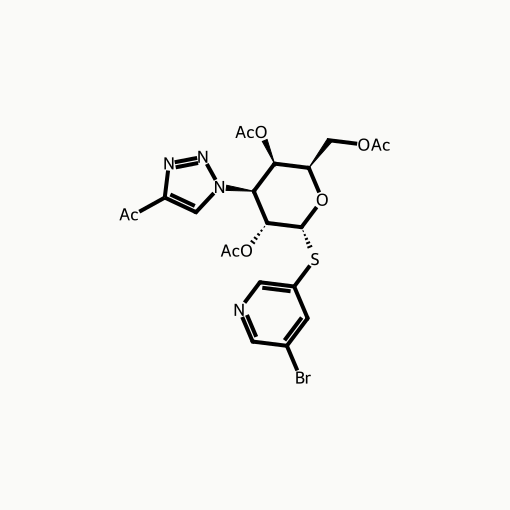 CC(=O)OC[C@H]1O[C@H](Sc2cncc(Br)c2)[C@H](OC(C)=O)[C@@H](n2cc(C(C)=O)nn2)[C@H]1OC(C)=O